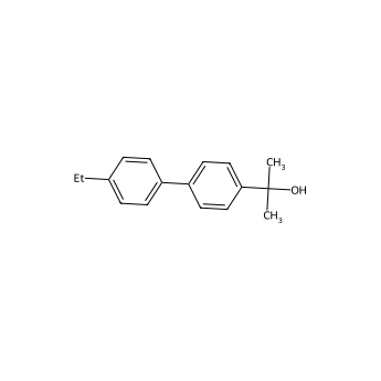 CCc1ccc(-c2ccc(C(C)(C)O)cc2)cc1